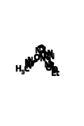 CCOc1cc(-c2nnc3c4cccnc4c(OCc4cn(C)nn4)nn23)no1